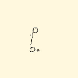 Brc1cccc(CC=CCOc2ccccc2)c1